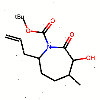 C=CCC1CCC(C)C(O)C(=O)N1C(=O)OC(C)(C)C